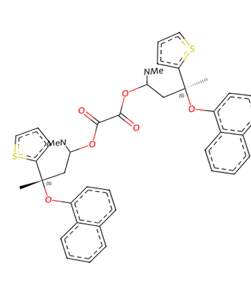 CNC(C[C@](C)(Oc1cccc2ccccc12)c1cccs1)OC(=O)C(=O)OC(C[C@](C)(Oc1cccc2ccccc12)c1cccs1)NC